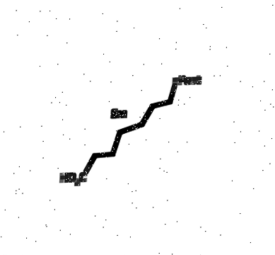 CCCCCCCCCCCC(=O)O.[Sm]